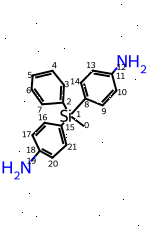 C[Si](c1ccccc1)(c1ccc(N)cc1)c1ccc(N)cc1